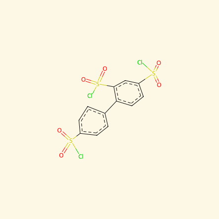 O=S(=O)(Cl)c1ccc(-c2ccc(S(=O)(=O)Cl)cc2S(=O)(=O)Cl)cc1